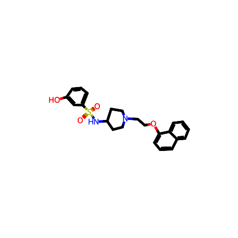 O=S(=O)(NC1CCN(CCOc2cccc3ccccc23)CC1)c1cccc(O)c1